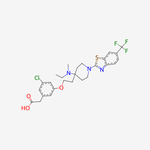 CCN(C)C1(CCOc2cc(Cl)cc(CC(=O)O)c2)CCN(c2nc3ccc(C(F)(F)F)cc3s2)CC1